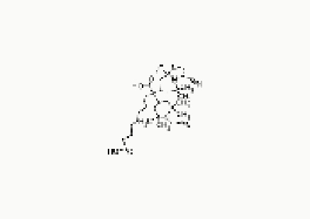 CC1(C)CC(C(CCCCCCCC(=O)O)(C(=O)O)C2CC(C)(C)N(CC#N)C(C)(C)C2)CC(C)(C)N1CC#N